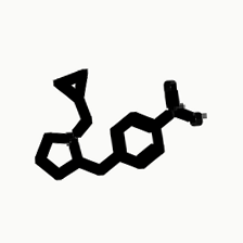 O=[N+]([O-])c1ccc(CC2CCCN2CC2CC2)cc1